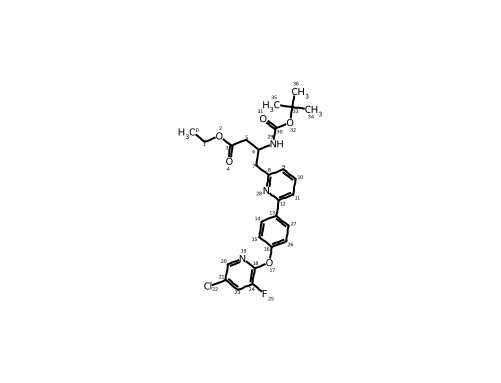 CCOC(=O)CC(Cc1cccc(-c2ccc(Oc3ncc(Cl)cc3F)cc2)n1)NC(=O)OC(C)(C)C